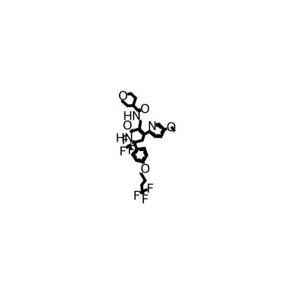 COc1ccc(C2=C(CNC(=O)C3CCOCC3)C(=O)N[C@@](c3ccc(OCCCC(F)(F)F)cc3)(C(F)(F)F)C2)nc1